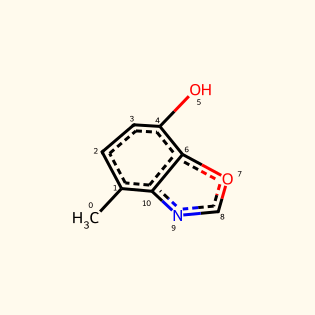 Cc1ccc(O)c2ocnc12